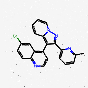 Cc1cccc(-c2nn3ccccc3c2-c2ccnc3ccc(Br)cc23)n1